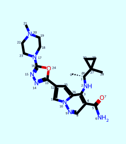 C[C@@H](Nc1c(C(N)=O)cnn2cc(-c3nnc(N4CCN(C)CC4)o3)cc12)C1(C)CC1